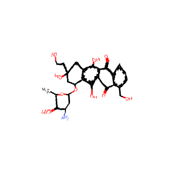 CC1OC(OC2CC(O)(CCO)Cc3c(O)c4c(c(O)c32)C(=O)c2c(CO)cccc2C4=O)CC(N)C1O